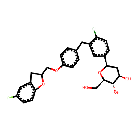 OC[C@H]1O[C@@H](c2ccc(Cl)c(Cc3ccc(OCC4Cc5cc(F)ccc5O4)cc3)c2)C[C@@H](O)[C@@H]1O